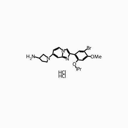 COc1cc(OC(C)C)c(-c2cn3ccc(N4CCC(N)C4)cc3n2)cc1Br.Cl.Cl